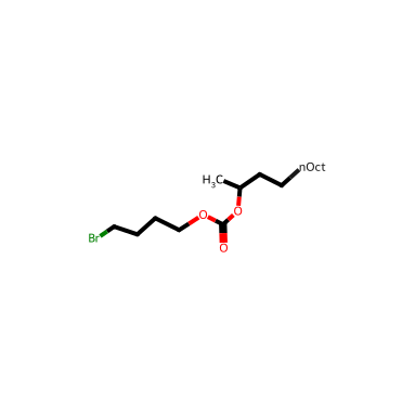 CCCCCCCCCCC(C)OC(=O)OCCCCBr